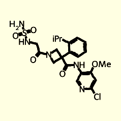 COc1cc(Cl)ncc1NC(=O)C1(c2ccccc2C(C)C)CN(C(=O)CNS(N)(=O)=O)C1